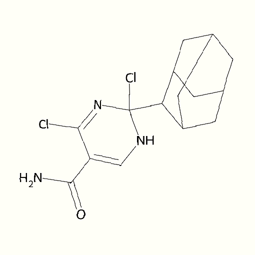 NC(=O)C1=CNC(Cl)(C2C3CC4CC(C3)CC2C4)N=C1Cl